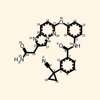 N#CC1(c2cccc(C(=O)Nc3cccc(Oc4ccc5nc(CC(N)=O)cn5n4)c3)c2)CC1